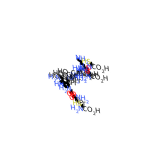 CC(C)C[C@H](N)C(=O)O.CC(C)C[C@H](N)C(=O)O.CC(C)C[C@H](N)C(=O)OC(=O)CN.CC[C@H](C)[C@H](N)C(=O)O.NCC(=O)O.NCC(=O)O.NCCCC[C@H](N)C(=O)OC[C@H](N)C(=O)O.N[C@@H](CS)C(=O)O.N[C@@H](CS)C(=O)O.N[C@@H](Cc1c[nH]c2ccccc12)C(=O)O